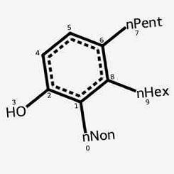 CCCCCCCCCc1c(O)ccc(CCCCC)c1CCCCCC